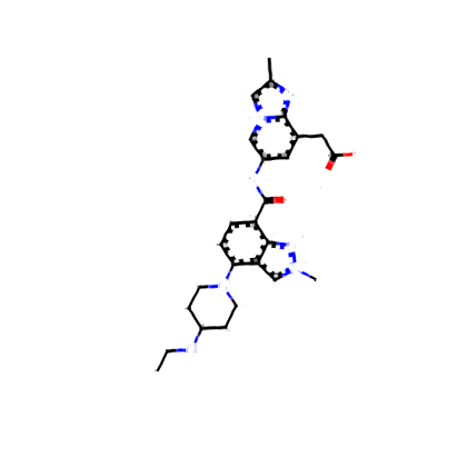 CCNC1CCN(c2ccc(C(=O)Nc3cc(CC(=O)O)c4nc(C)cn4c3)c3nn(C)cc23)CC1